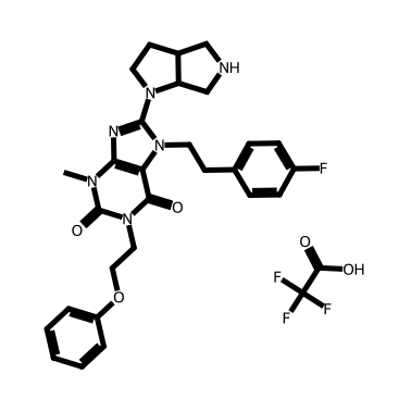 Cn1c(=O)n(CCOc2ccccc2)c(=O)c2c1nc(N1CCC3CNCC31)n2CCc1ccc(F)cc1.O=C(O)C(F)(F)F